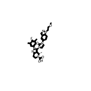 COCCn1ncc2cc(-n3ccn(-c4c5c(nn4-c4cc(C)c(F)c(C)c4)CCN(C(=O)O)[C@H]5C)c3=O)ccc21